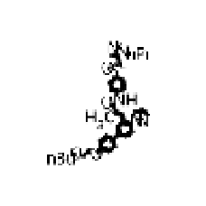 CCCCOCCOc1ccc(-c2ccc(-n3cccn3)c(/C=C(\C)C(=O)Nc3ccc([S+]([O-])Cc4cncn4CCC)cc3)c2)cc1